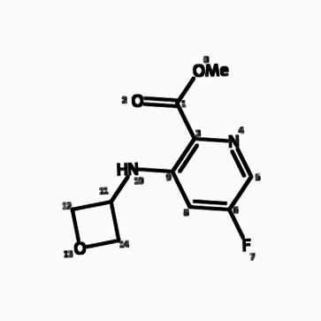 COC(=O)c1ncc(F)cc1NC1COC1